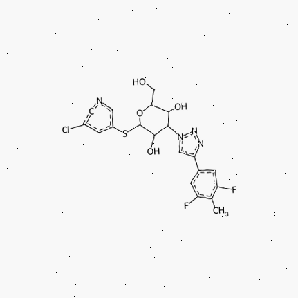 Cc1c(F)cc(-c2cn(C3C(O)C(CO)OC(Sc4cncc(Cl)c4)C3O)nn2)cc1F